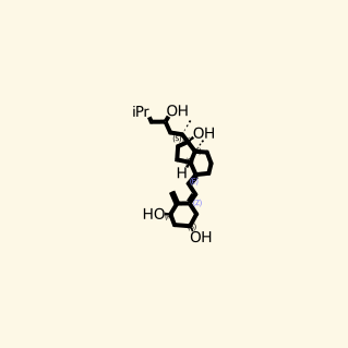 C=C1/C(=C\C=C2/CCC[C@@]3(C)[C@H]2CC[C@]3(O)[C@@H](C)CC(O)CC(C)C)C[C@H](O)C[C@H]1O